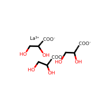 O=C([O-])C(O)CO.O=C([O-])C(O)CO.O=C([O-])C(O)CO.[La+3]